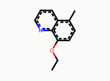 CCOc1ccc(C)c2cccnc12